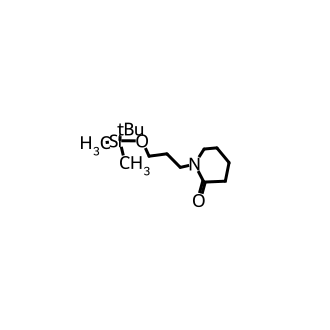 CC(C)(C)[Si](C)(C)OCCCN1CCCCC1=O